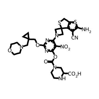 N#Cc1c(N)sc2c1C1(CN(c3nc(OCC4(CN5CCOCC5)CC4)nc(OC(=O)N4CCNC(C(=O)O)C4)c3[N+](=O)[O-])C1)SC2